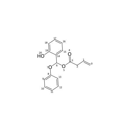 C=CCC(=O)OC(Oc1ccccc1)c1ccccc1O